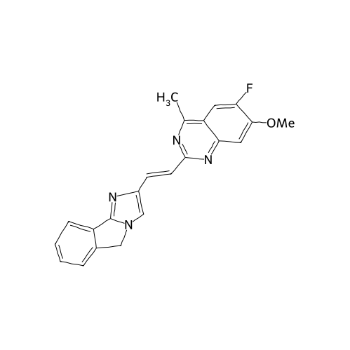 COc1cc2nc(C=Cc3cn4c(n3)-c3ccccc3C4)nc(C)c2cc1F